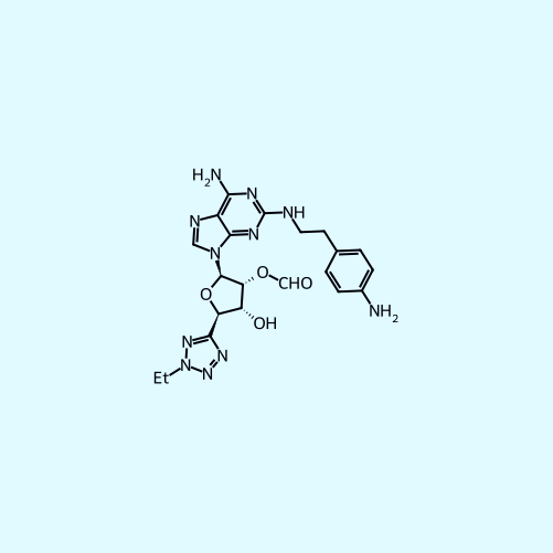 CCn1nnc([C@H]2O[C@@H](n3cnc4c(N)nc(NCCc5ccc(N)cc5)nc43)[C@H](OC=O)[C@@H]2O)n1